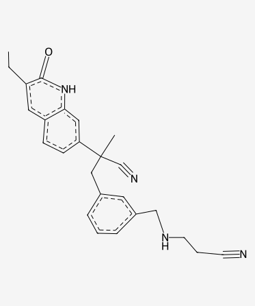 CCc1cc2ccc(C(C)(C#N)Cc3cccc(CNCCC#N)c3)cc2[nH]c1=O